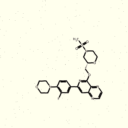 CS(=O)(=O)N1CCO[C@H](COc2nc(-c3ccc(N4CCOCC4)c(F)c3)cc3nccnc23)C1